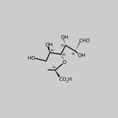 C[C@@H](O[C@@H]([C@H](O)[C@@H](O)C=O)[C@H](O)CO)C(=O)O